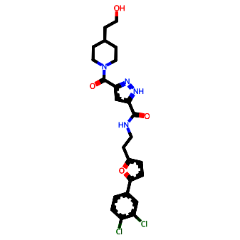 O=C(NCCc1ccc(-c2ccc(Cl)c(Cl)c2)o1)c1cc(C(=O)N2CCC(CCO)CC2)n[nH]1